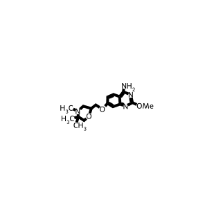 COc1nc(N)c2ccc(OCC3CN(C)C(C)(C)CO3)cc2n1